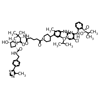 Cc1cc(Nc2ncc(Cl)c(Nc3ccccc3S(=O)(=O)C(C)C)n2)c(OC(C)C)cc1C1CCN(C(=O)CCCC(=O)N[C@H](C(=O)N2C[C@@H](O)C[C@H]2C(=O)NCc2ccc(-c3scnc3C)cc2)C(C)(C)C)CC1